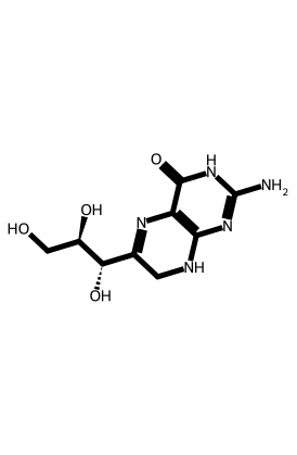 Nc1nc2c(c(=O)[nH]1)N=C([C@H](O)[C@H](O)CO)CN2